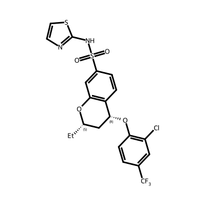 CC[C@H]1C[C@@H](Oc2ccc(C(F)(F)F)cc2Cl)c2ccc(S(=O)(=O)Nc3nccs3)cc2O1